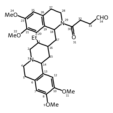 CCC1CN2CCc3cc(OC)c(OC)cc3C2CC1CC1c2cc(OC)c(OC)cc2CCN1C(=O)CCC=O